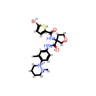 Cc1cc(NC(=O)C2(NC(=O)c3ccc(Br)s3)CCOC2)ccc1N1CCCCN1C